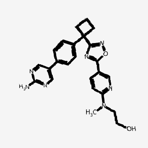 CN(CCO)c1ccc(-c2nc(C3(c4ccc(-c5cnc(N)nc5)cc4)CCC3)no2)cn1